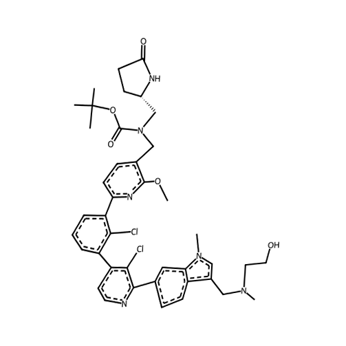 COc1nc(-c2cccc(-c3ccnc(-c4ccc5c(CN(C)CCO)cn(C)c5c4)c3Cl)c2Cl)ccc1CN(C[C@@H]1CCC(=O)N1)C(=O)OC(C)(C)C